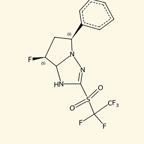 O=S(=O)(C1=NN2C(N1)[C@@H](F)C[C@H]2c1ccccc1)C(F)(F)C(F)(F)F